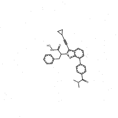 CN(C)C(=O)c1ccc(-c2cccc3c(C#CC4CC4)n(C(Cc4ccccc4)C(=O)NO)nc23)cc1